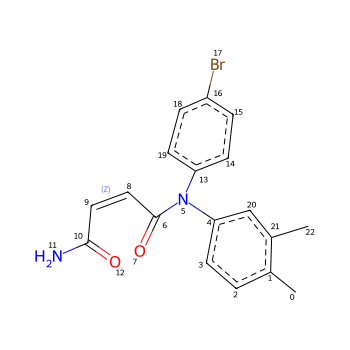 Cc1ccc(N(C(=O)/C=C\C(N)=O)c2ccc(Br)cc2)cc1C